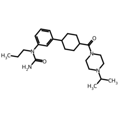 CCCN(C(N)=O)c1cccc(C2CCC(C(=O)N3CCN(C(C)C)CC3)CC2)c1